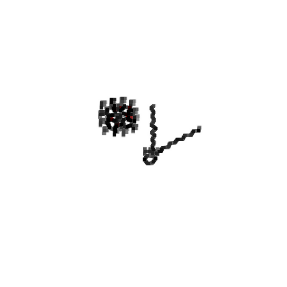 CCCCCCCCCCCC[NH+](CCCCCCCCCCCC)C1CCCCC1.Fc1c(F)c(F)c([B-](c2c(F)c(F)c(F)c(F)c2F)(c2c(F)c(F)c(F)c(F)c2F)c2c(F)c(F)c(F)c(F)c2F)c(F)c1F